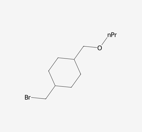 CCCOCC1CCC(CBr)CC1